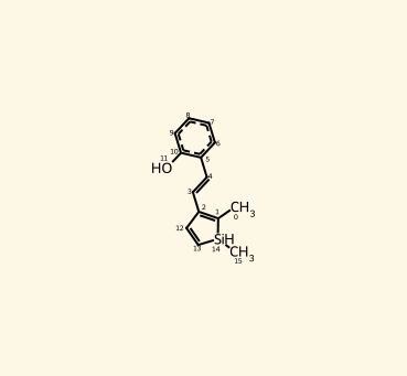 CC1=C(C=Cc2ccccc2O)C=C[SiH]1C